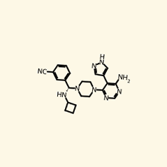 N#Cc1cccc([C@@H](NC2CCC2)N2CCN(c3ncnc(N)c3-c3cn[nH]c3)CC2)c1